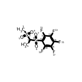 CC(S(C)(=O)=O)S(=O)(=O)c1c(F)c(F)c(F)c(F)c1F